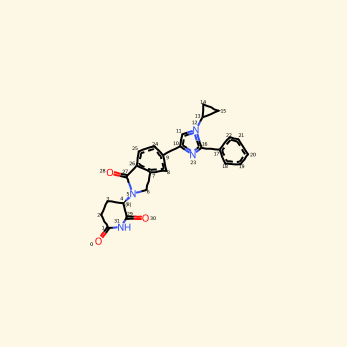 O=C1CC[C@@H](N2Cc3cc(-c4cn(C5CC5)c(-c5ccccc5)n4)ccc3C2=O)C(=O)N1